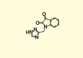 O=C1C(=O)N(Cc2nc[nH]n2)c2ccccc21